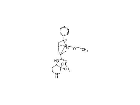 CCOC[C@]12CC3CC(C(=O)NC4CCNCC4(C)C)(C1)C[C@@](c1ccccc1)(C3)C2